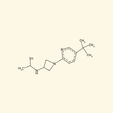 CC(S)NC1CN(c2ccc(C(C)(C)C)cn2)C1